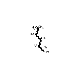 CC(C)=CCCC(C)=CCCC(C)=CCCC(C)=CCCC(C)C=O